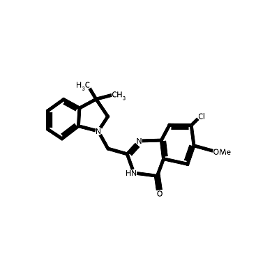 COc1cc2c(=O)[nH]c(CN3CC(C)(C)c4ccccc43)nc2cc1Cl